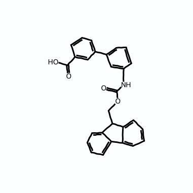 O=C(Nc1cccc(-c2cccc(C(=O)O)c2)c1)OCC1c2ccccc2-c2ccccc21